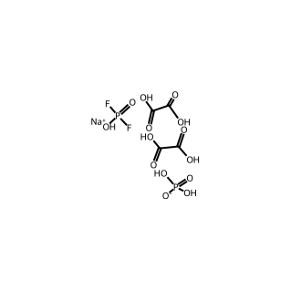 O=C(O)C(=O)O.O=C(O)C(=O)O.O=P(O)(F)F.O=P([O-])(O)O.[Na+]